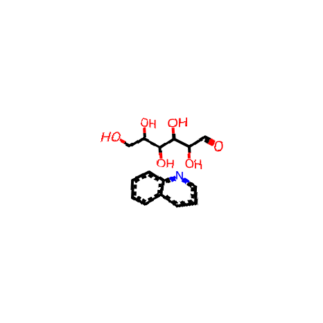 O=CC(O)C(O)C(O)C(O)CO.c1ccc2ncccc2c1